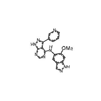 COc1cc2[nH]ncc2cc1Nc1ncnc2[nH]nc(-c3cccnc3)c12